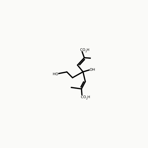 CC(=CC(O)(C=C(C)C(=O)O)CCO)C(=O)O